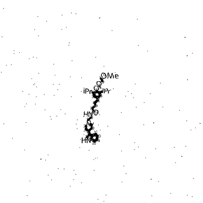 COCCOCOc1c(C(C)C)cc(C=CC=CC(=O)NCCN2CCC(c3c[nH]c4ccccc34)CC2)cc1C(C)C